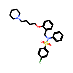 O=S(=O)(c1ccc(Cl)cc1)N(Cc1ccccc1OCCCCN1CCCCC1)c1ccccc1